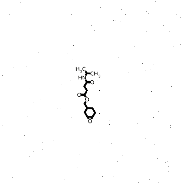 CC(C)NC(=O)CCC(=O)OCC1CCC2OC2C1